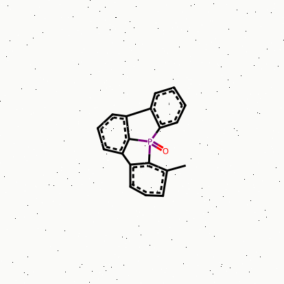 Cc1cccc2c1P1(=O)c3ccccc3-c3cccc-2c31